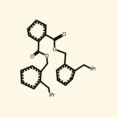 CC(C)Cc1ccccc1COC(=O)c1ccccc1C(=O)OCc1ccccc1CC(C)C